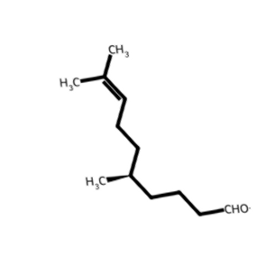 CC(C)=CCC[C@H](C)CCC[C]=O